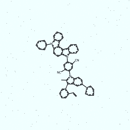 C=Cc1ccccc1-c1c(C)n(-c2cc(C#N)c(-n3c4ccccc4c4c5c6ccccc6n(-c6ccccc6)c5ccc43)cc2C#N)c2ccc(-c3ccccc3)cc12